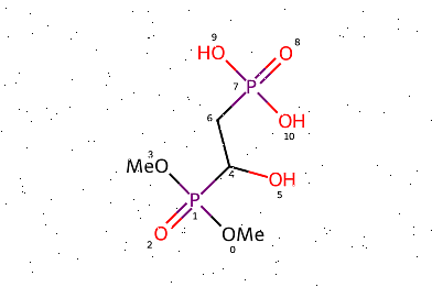 COP(=O)(OC)C(O)CP(=O)(O)O